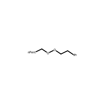 CCCCCCOOCCC(C)C